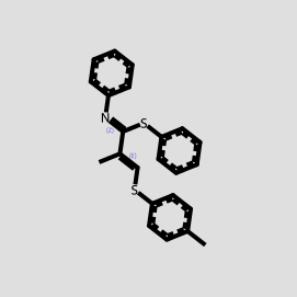 CC(=C\Sc1ccc(C)cc1)/C(=N/c1ccccc1)Sc1ccccc1